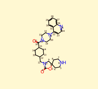 O=C1OC2(CCNCC2)CN1CC1CCC(C(=O)N2CCN(c3ccnc4ccccc34)CC2)CC1